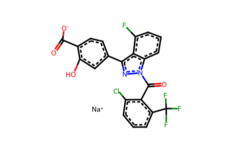 O=C([O-])c1ccc(-c2nn(C(=O)c3c(Cl)cccc3C(F)(F)F)c3cccc(F)c23)cc1O.[Na+]